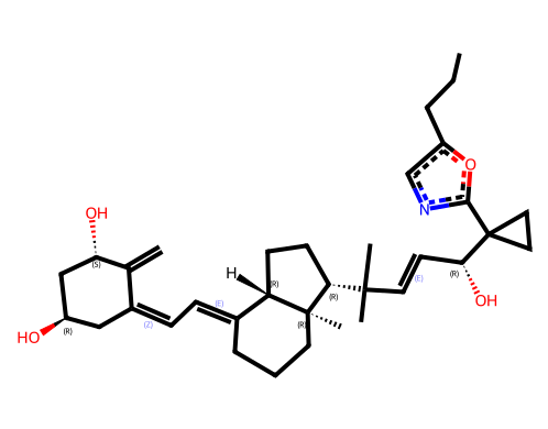 C=C1/C(=C\C=C2/CCC[C@]3(C)[C@@H](C(C)(C)/C=C/[C@@H](O)C4(c5ncc(CCC)o5)CC4)CC[C@@H]23)C[C@@H](O)C[C@@H]1O